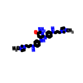 C[n+]1ccn(CCCNc2ccc(N=C3N=C(N)C(=O)C=C3Nc3ccc(NCCCn4cc[n+](C)c4)cc3)cc2)c1